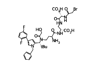 CC(C)(C)[C@H](c1cc(-c2cc(F)ccc2F)cn1Cc1ccccc1)N(CC[C@H](N)C(=O)N[C@H](CNC(=O)[C@H](CC(=O)O)NC(=O)CBr)C(=O)O)C(=O)CO